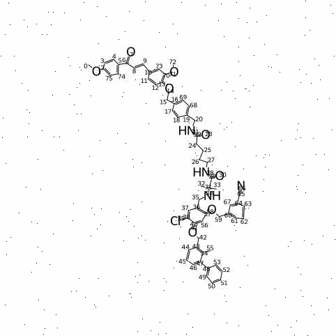 COc1ccc(C(=O)/C=C/c2ccc(OCc3ccc(CNC(=O)CCCCNC(=O)C(C)(C)NCc4cc(Cl)c(OCc5cccc(-c6ccccc6)c5C)cc4OCc4cccc(C#N)c4)cc3)c(OC)c2)cc1